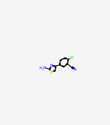 N#Cc1cc(-c2csc(N)n2)ccc1Cl